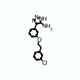 Nc1[nH]nnc1-c1cccc(OCCc2cccc(Cl)c2)c1